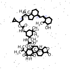 C=C1/C(=C\C=C2/CCC[C@@]3(C)C2CCC3[C@@H](C)/C=C/C(OC(=O)NC2CC(C)(C)C[C@](C)(NC(=O)O[C@@H]3[C@@]4(C(C)C)O[C@H]4[C@@H]4O[C@]45[C@]34O[C@H]4C[C@H]3C4=C(CC[C@@]35C)C(=O)OC4)C2)C2CC2)CCC[C@@H]1O